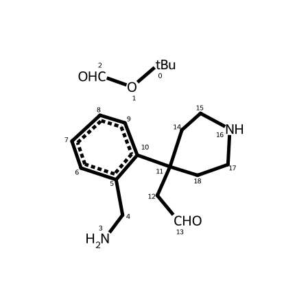 CC(C)(C)OC=O.NCc1ccccc1C1(CC=O)CCNCC1